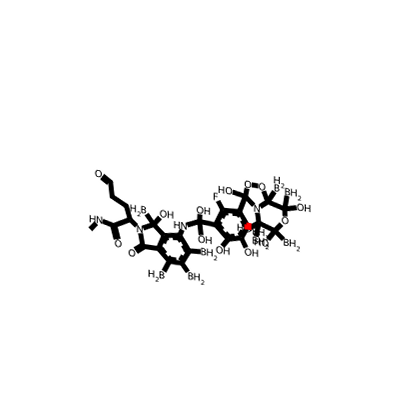 Bc1c(B)c(NC(O)(O)c2c(O)c(O)c(B)c(C3(O)OOC4(B)N3C(B)(O)C(B)(O)OC4(B)O)c2F)c2c(c1B)C(=O)N(C(CCC=O)C(=O)NC)C2(B)O